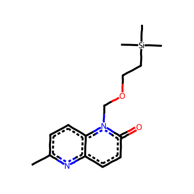 Cc1ccc2c(ccc(=O)n2COCC[Si](C)(C)C)n1